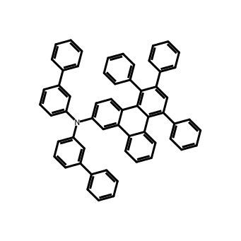 c1ccc(-c2cccc(N(c3cccc(-c4ccccc4)c3)c3ccc4c(c3)c3ccccc3c3c(-c5ccccc5)cc(-c5ccccc5)c(-c5ccccc5)c43)c2)cc1